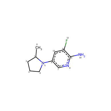 CC1CCCN1c1cnc(N)c(F)c1